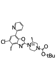 C[C@H]1CN(C(=O)OC(C)(C)C)CCN1c1nc2c(I)c(Cl)cc(-c3ccccn3)c2o1